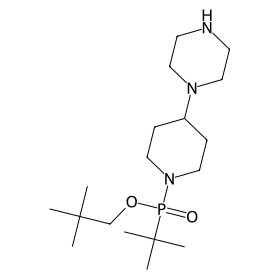 CC(C)(C)COP(=O)(N1CCC(N2CCNCC2)CC1)C(C)(C)C